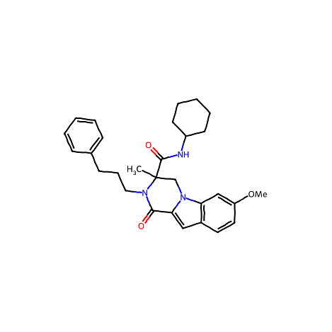 COc1ccc2cc3n(c2c1)CC(C)(C(=O)NC1CCCCC1)N(CCCc1ccccc1)C3=O